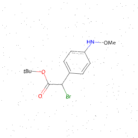 CONc1ccc(C(Br)C(=O)OC(C)(C)C)cc1